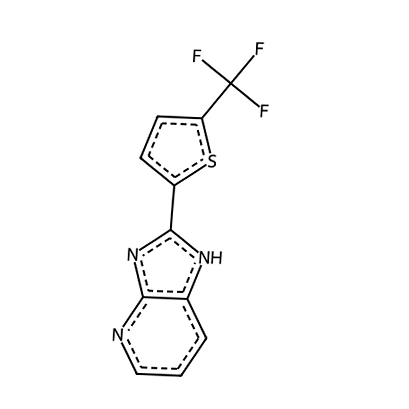 FC(F)(F)c1ccc(-c2nc3ncccc3[nH]2)s1